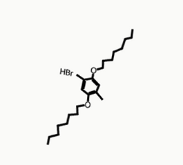 Br.CCCCCCCCOc1cc(C)c(OCCCCCCCC)cc1C